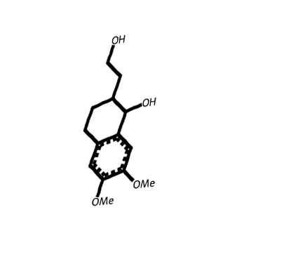 COc1cc2c(cc1OC)C(O)C(CCO)CC2